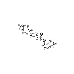 O=C(COc1cccc2cccnc12)NCC(O)CN1CCc2ccsc2C1